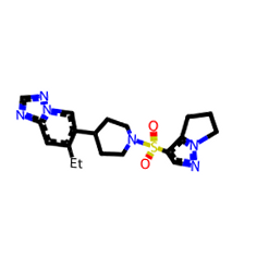 CCc1cc2ncnn2cc1C1CCN(S(=O)(=O)c2cnn3c2CCC3)CC1